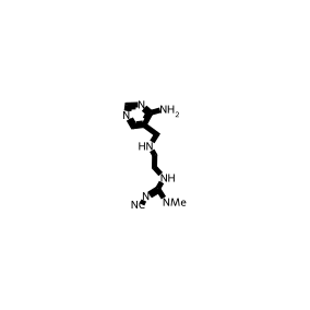 CNC(=NC#N)NCCNCc1cncnc1N